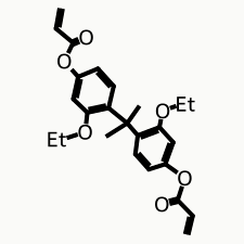 C=CC(=O)Oc1ccc(C(C)(C)c2ccc(OC(=O)C=C)cc2OCC)c(OCC)c1